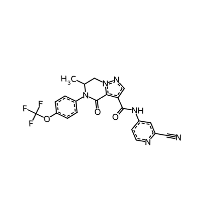 CC1Cn2ncc(C(=O)Nc3ccnc(C#N)c3)c2C(=O)N1c1ccc(OC(F)(F)F)cc1